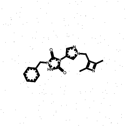 CC1=NC(C)=C1Cn1cc(-n2c(=O)[nH]n(Cc3ccccc3)c2=O)cn1